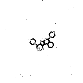 N=Nc1c(C(=N)N2CCNCC2)sc2nc(N3CCOCC3)c3c(c12)CCCC3